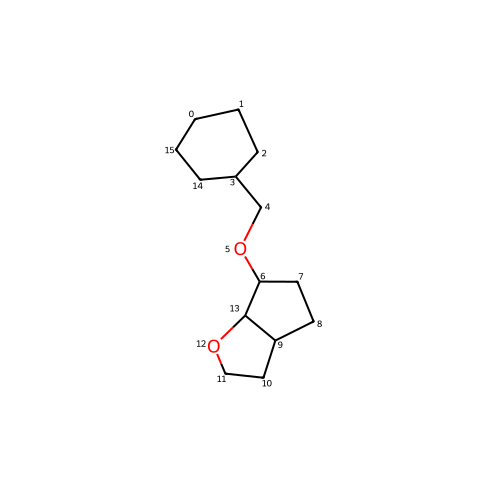 C1CCC(COC2CCC3CCOC32)CC1